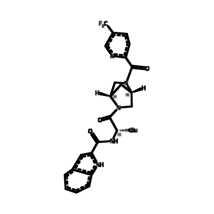 CC(C)(C)[C@H](NC(=O)c1cc2ccccc2[nH]1)C(=O)N1C[C@@H]2C[C@H]1CN2C(=O)c1ccc(C(F)(F)F)cn1